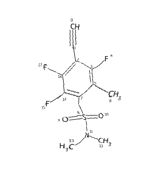 C#Cc1c(F)c(C)c(S(=O)(=O)N(C)C)c(F)c1F